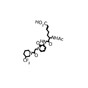 CC(=O)NC(CC/C=C/C(=O)O)C(=O)Nc1cccn(CC(=O)N2CCCC(C(F)(F)F)C2)c1=O